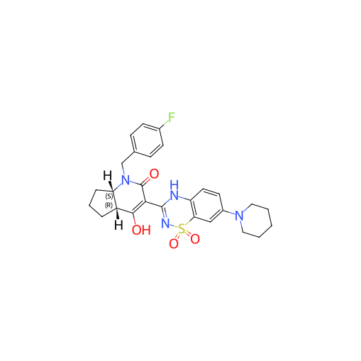 O=C1C(C2=NS(=O)(=O)c3cc(N4CCCCC4)ccc3N2)=C(O)[C@@H]2CCC[C@@H]2N1Cc1ccc(F)cc1